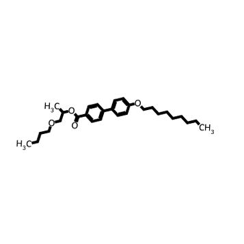 CCCCCCCCCOc1ccc(-c2ccc(C(=O)OC(C)COCCCC)cc2)cc1